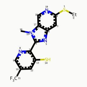 CCSc1cc2nc(-c3ncc(C(F)(F)F)cc3S)n(C)c2cn1